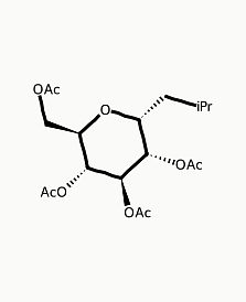 CC(=O)OC[C@H]1O[C@H](CC(C)C)[C@H](OC(C)=O)[C@@H](OC(C)=O)[C@@H]1OC(C)=O